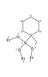 CCO[Si](OCC)(OCC)C1(C)CCCCC1